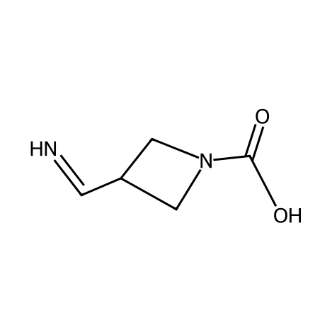 N=CC1CN(C(=O)O)C1